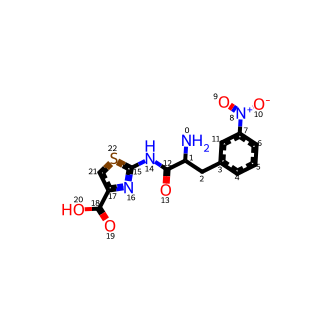 NC(Cc1cccc([N+](=O)[O-])c1)C(=O)Nc1nc(C(=O)O)cs1